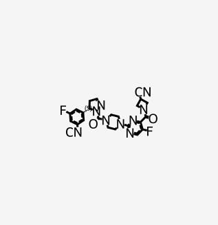 N#Cc1cc(F)cc([C@@H]2CC=NN2C(=O)N2CCN(c3ncc(F)c(C(=O)N4CC(C#N)C4)n3)CC2)c1